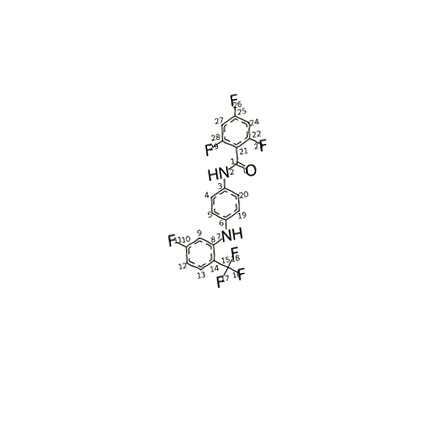 O=C(Nc1ccc(Nc2cc(F)ccc2C(F)(F)F)cc1)c1c(F)cc(F)cc1F